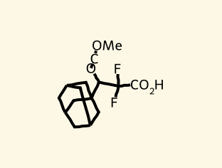 COCOC(C12CC3CC(CC(C3)C1)C2)C(F)(F)C(=O)O